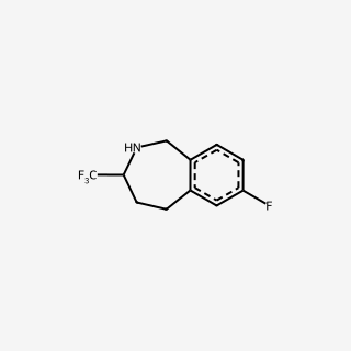 Fc1ccc2c(c1)CCC(C(F)(F)F)NC2